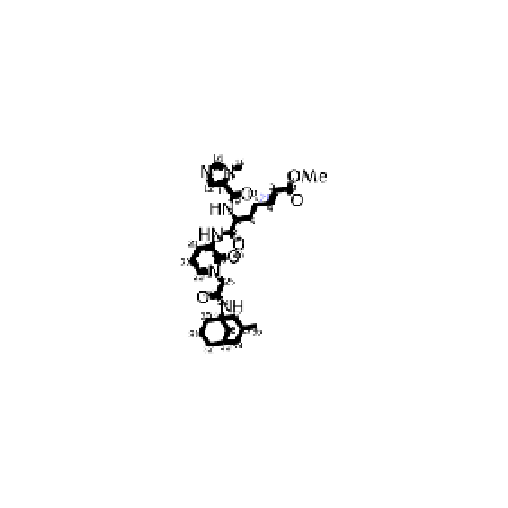 COC(=O)/C=C/CCC(NC(=O)c1cncn1C)C(=O)Nc1cccn(CC(=O)NC23CCCC(CC(C)C2)C3)c1=O